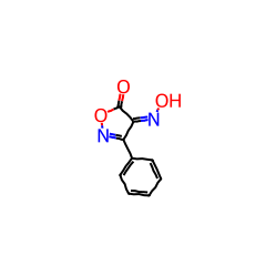 O=C1ON=C(c2ccccc2)C1=NO